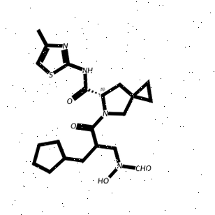 Cc1csc(NC(=O)[C@@H]2CC3(CC3)CN2C(=O)C(CC2CCCC2)CN(O)C=O)n1